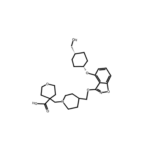 O=C(O)C1(CN2CCC(COc3noc4cccc(O[C@H]5CC[C@@H](CO)CC5)c34)CC2)CCOCC1